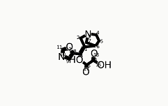 C(=C1CN2CCC1C2)c1cnco1.O=C(O)C(=O)O